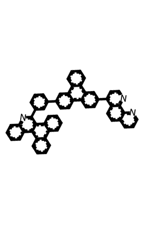 c1cc(-c2ccc3c4ccc(-c5ccnc6c5ccc5cccnc56)cc4c4ccccc4c3c2)cc(-c2nc3ccccc3c3c4ccccc4c4ccccc4c23)c1